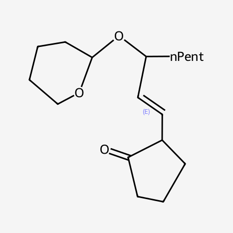 CCCCCC(/C=C/C1CCCC1=O)OC1CCCCO1